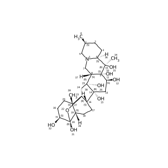 C[C@H]1CC[C@@H]2N(C1)C[C@@H]1[C@](O)([C@@H](O)C[C@@]3(O)[C@@H]4CC[C@@H]5[C@@]6(O)O[C@@]4(C[C@@]13O)[C@@]5(C)CC[C@@H]6O)[C@]2(C)O